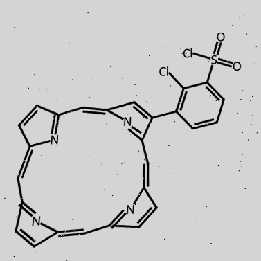 O=S(=O)(Cl)c1cccc(C2=CC3=CC4=NC(=CC5=NC(=CC6=NC(=CC2=N3)C=C6)C=C5)C=C4)c1Cl